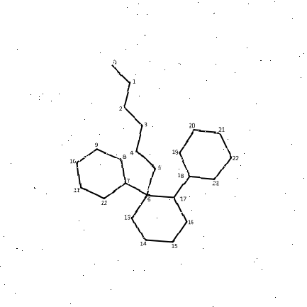 CCCCCCC1(C2CCCCC2)CCCCC1C1CCCCC1